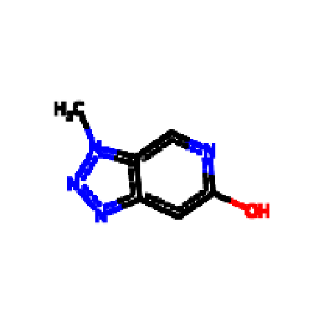 Cn1nnc2cc(O)ncc21